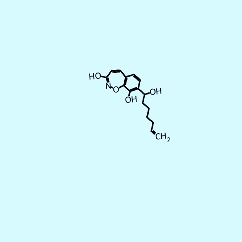 C=CCCCCC(O)c1ccc2c(c1O)ON=C(O)C=C2